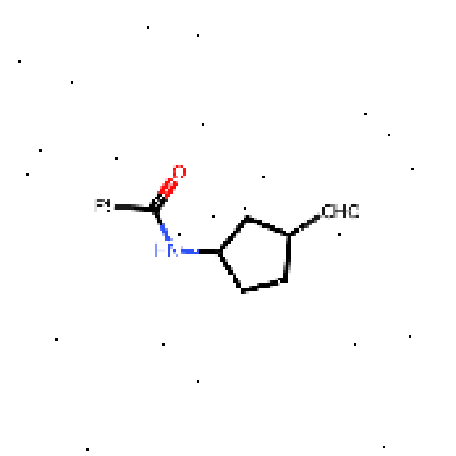 CCC(=O)NC1CCC(C=O)C1